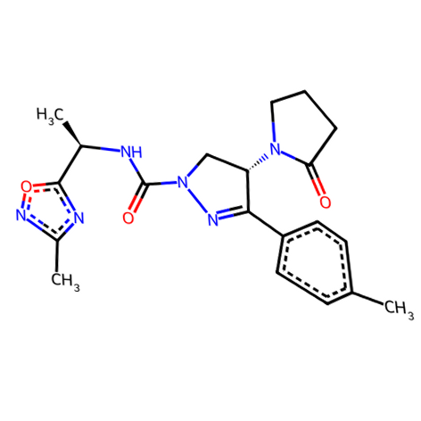 Cc1ccc(C2=NN(C(=O)N[C@H](C)c3nc(C)no3)C[C@@H]2N2CCCC2=O)cc1